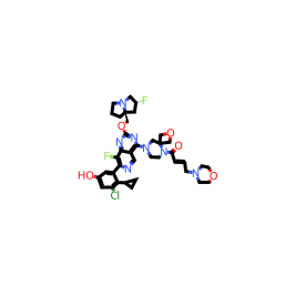 O=C(/C=C/CN1CCOCC1)N1CCN(c2nc(OC[C@@]34CCCN3C[C@H](F)C4)nc3c(F)c(-c4cc(O)cc(Cl)c4C4CC4)ncc23)CC12COC2